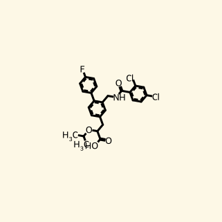 CC(C)OC(Cc1ccc(-c2ccc(F)cc2)c(CNC(=O)c2ccc(Cl)cc2Cl)c1)C(=O)O